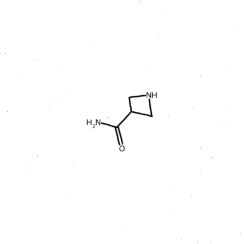 NC(=O)C1CNC1